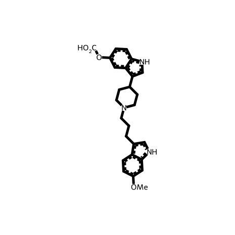 COc1ccc2c(CCCN3CCC(c4c[nH]c5ccc(OC(=O)O)cc45)CC3)c[nH]c2c1